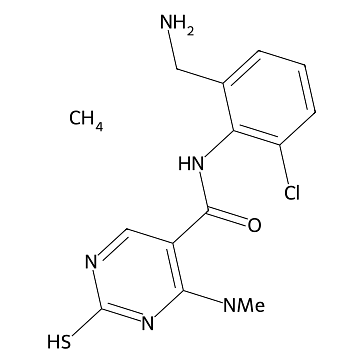 C.CNc1nc(S)ncc1C(=O)Nc1c(Cl)cccc1CN